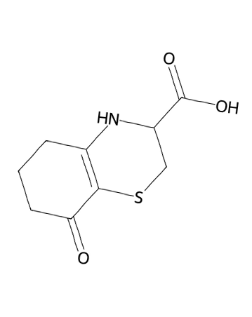 O=C1CCCC2=C1SCC(C(=O)O)N2